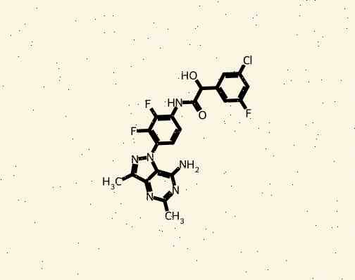 Cc1nc(N)c2c(n1)c(C)nn2-c1ccc(NC(=O)C(O)c2cc(F)cc(Cl)c2)c(F)c1F